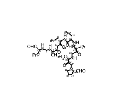 CC(C)C[C@@H](C=O)NCN[C@@H](C)C(=O)CC(=O)[C@H](CC(C)C)NC(=O)[C@H](CC(C)C)NN[C@H](C(=O)CN[C@@H](C)C(=O)CN1CCC[C@H]1C=O)C(C)C